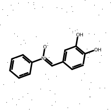 [O-][N+](=Cc1ccc(O)c(O)c1)c1ccccc1